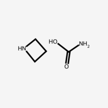 C1CNC1.NC(=O)O